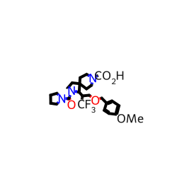 COc1ccc(COCC(C2N(C(=O)N3CCCC3)CCC23CCN(C(=O)O)CC3)C(F)(F)F)cc1